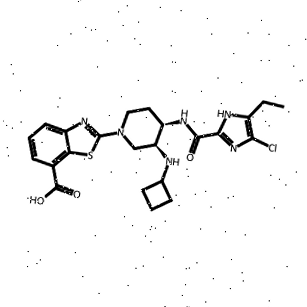 CCc1[nH]c(C(=O)N[C@@H]2CCN(c3nc4cccc(C(=O)O)c4s3)C[C@@H]2NC2CCC2)nc1Cl